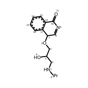 CC(C)NCC(O)COC1C=NC(=O)c2ccccc21